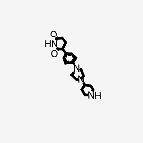 O=C1CCC(c2ccc(N3CCN(C4CCNCC4)CC3)cc2)C(=O)N1